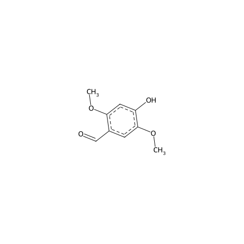 COc1cc(C=O)c(OC)cc1O